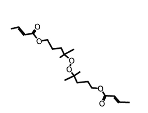 CC=CC(=O)OCCCC(C)(C)OOC(C)(C)CCCOC(=O)C=CC